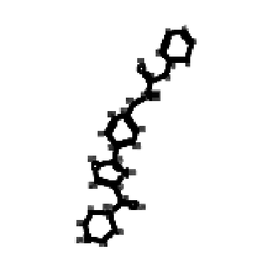 O=C(Cc1ccccc1)NCc1ccc(-c2nc(C(=O)N3CCSCC3)co2)cc1